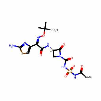 CNC(=O)NS(=O)(=O)NC(=O)N1C[C@H](NC(=O)C(=NOC(C)(C)C(=O)O)c2csc(N)n2)C1=O